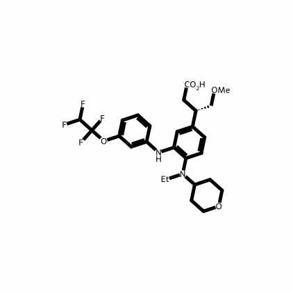 CCN(c1ccc([C@@H](COC)CC(=O)O)cc1Nc1cccc(OC(F)(F)C(F)F)c1)C1CCOCC1